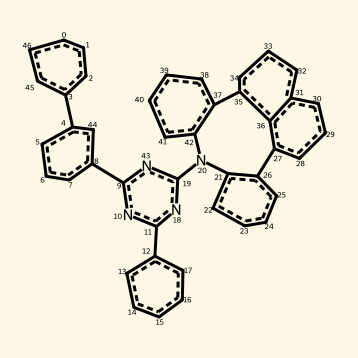 c1ccc(-c2cccc(-c3nc(-c4ccccc4)nc(N4c5ccccc5-c5cccc6cccc(c56)-c5ccccc54)n3)c2)cc1